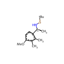 COc1ccc([C@H](C)NSC(C)(C)C)c(C)c1C